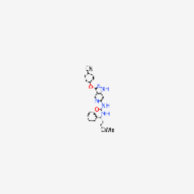 COCC[C@@H](NC(=O)Nc1cc2[nH]nc(OC3CCC(C#N)CC3)c2cn1)c1ccccc1